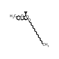 CCCCCCCCCCCCCCCCOC1C=C(CN2CCC(C)CC2)C(=O)C(C2CC2)O1